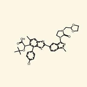 Cc1cc2nc(-c3ccc4c(c3)c(N3CCN(CC5OCCO5)C3=O)nn4C)sc2c(-c2ccc(Cl)cc2)c1C(OC(C)(C)C)C(=O)O